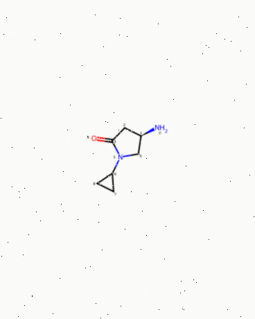 N[C@@H]1CC(=O)N(C2CC2)C1